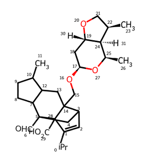 CC(C)C1=CC2CC3(C=O)C4CCC(C)C4CC2(CO[C@H]2C[C@@H]4OC[C@@H](C)[C@H]4[C@@H](C)O2)C13C(=O)O